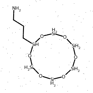 NCCC[SiH]1O[SiH2]O[SiH2]O[SiH2]O[SiH2]O[SiH2]O1